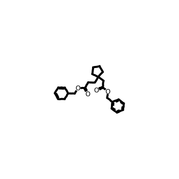 O=C(CCC1(CC(=O)OCc2ccccc2)CCCC1)OCC1C=CC=CC1